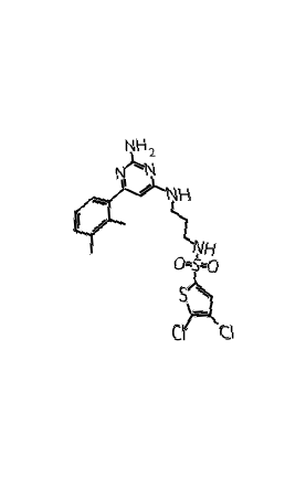 Cc1cccc(-c2cc(NCCCNS(=O)(=O)c3cc(Cl)c(Cl)s3)nc(N)n2)c1C